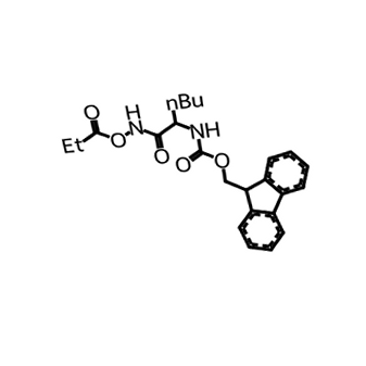 CCCCC(NC(=O)OCC1c2ccccc2-c2ccccc21)C(=O)NOC(=O)CC